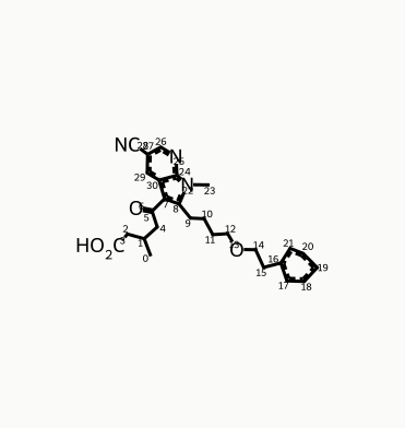 CC(CC(=O)O)CC(=O)c1c(CCCCOCCc2ccccc2)n(C)c2ncc(C#N)cc12